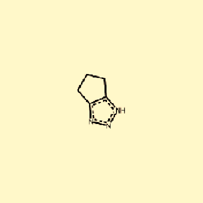 [CH]1Cc2nn[nH]c2C1